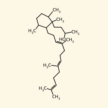 CC(C)=CCC/C(C)=C/CC/C(C)=C/CCC1C(C)CCC(C)C1(C)CCC(C)O